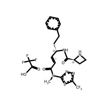 CN(C(=O)/C=C/[C@H](CCc1ccccc1)NC(=O)[C@@H]1CCN1)c1nnc(C(F)(F)F)s1.O=C(O)C(F)(F)F